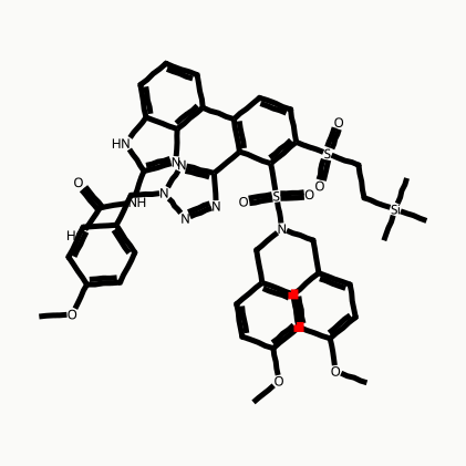 COc1ccc(CN(Cc2ccc(OC)cc2)S(=O)(=O)c2c(S(=O)(=O)CC[Si](C)(C)C)ccc(-c3cccc4[nH]c(NC(=O)O)nc34)c2-c2nnn(Cc3ccc(OC)cc3)n2)cc1